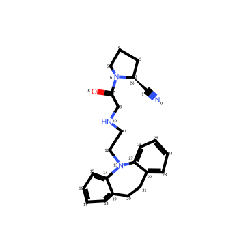 N#C[C@@H]1CCCN1C(=O)CNCCN1c2ccccc2CCc2ccccc21